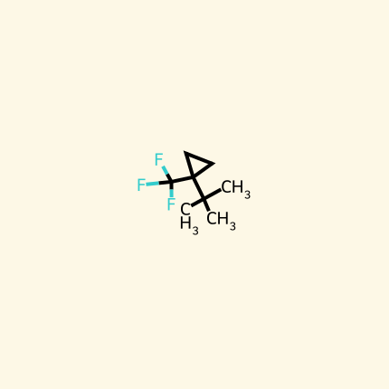 CC(C)(C)C1(C(F)(F)F)CC1